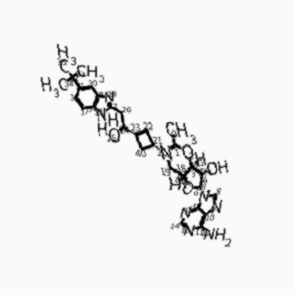 CC1O[C@H]2[C@@H](O)[C@H](n3cnc4c(N)ncnc43)O[C@@H]2CN1[C@H]1C[C@H](C(O)Cc2nc3cc(C(C)(C)C)ccc3[nH]2)C1